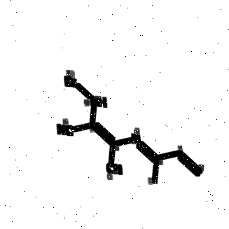 C=C/C(C)=N/C(C#N)=C(/C#N)NCC